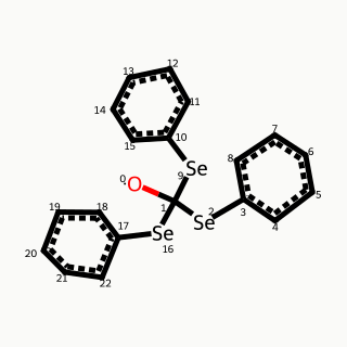 [O]C([Se]c1ccccc1)([Se]c1ccccc1)[Se]c1ccccc1